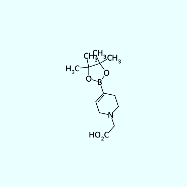 CC1(C)OB(C2=CCN(CC(=O)O)CC2)OC1(C)C